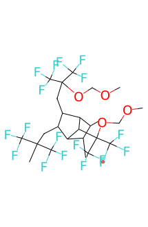 COCOC(CC1C(CC(C)(C(F)(F)F)C(F)(F)F)C2C(C)C(C)C1C2C(OCOC)(C(F)(F)F)C(F)(F)F)(C(F)(F)F)C(F)(F)F